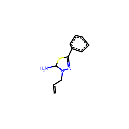 C=CCN1N=C(c2ccccc2)SC1N